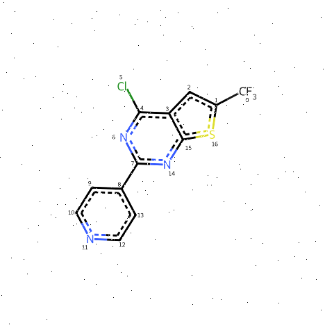 FC(F)(F)c1cc2c(Cl)nc(-c3ccncc3)nc2s1